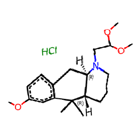 COc1ccc2c(c1)C(C)(C)[C@H]1CCCN(CC(OC)OC)[C@@H]1C2.Cl